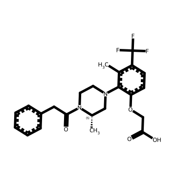 Cc1c(C(F)(F)F)ccc(OCC(=O)O)c1N1CCN(C(=O)Cc2ccccc2)[C@@H](C)C1